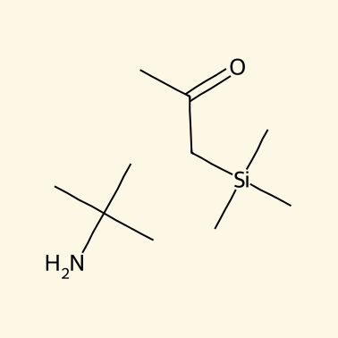 CC(=O)C[Si](C)(C)C.CC(C)(C)N